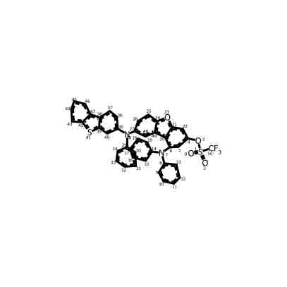 O=S(=O)(Oc1cc(N(c2ccccc2)c2ccccc2)c2c(c1)oc1ccc(N(c3ccccc3)c3ccc4c(c3)sc3ccccc34)cc12)C(F)(F)F